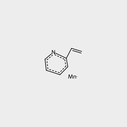 C=Cc1ccccn1.[Mn]